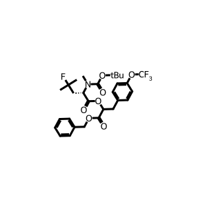 CN(C(=O)OC(C)(C)C)[C@@H](CC(C)(C)F)C(=O)OC(Cc1ccc(OC(F)(F)F)cc1)C(=O)OCc1ccccc1